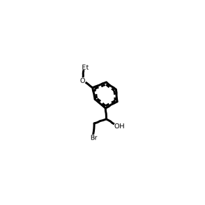 CCOc1cccc(C(O)CBr)c1